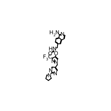 Nc1nccc2cc(CNC(=O)Oc3cn(Cc4cnc(N5CCCC5)nc4)nc3C(F)(F)F)ccc12